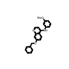 COc1cccc(Nc2ccnc3cc(OCc4ccccc4)ccc23)c1